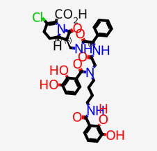 O=C(CN(CCCCNC(=O)c1cccc(O)c1O)C(=O)c1cccc(O)c1O)N[C@@H](C(=O)NC[C@@H]1C(=O)N2C(C(=O)O)=C(Cl)CC[C@H]12)c1ccccc1